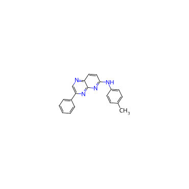 Cc1ccc(Nc2ccc3ncc(-c4ccccc4)nc3n2)cc1